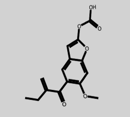 C=C(CC)C(=O)c1cc2cc(OC(=O)O)oc2cc1OC